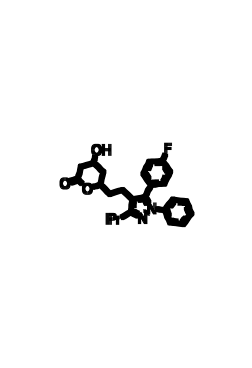 CC(C)c1nn(-c2ccccc2)c(-c2ccc(F)cc2)c1CCC1CC(O)CC(=O)O1